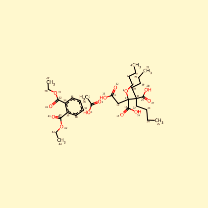 CC(=O)O.CCCCOC(CC(=O)O)(C(=O)O)C(CCCC)(CCCC)C(=O)O.CCOC(=O)c1ccccc1C(=O)OCC